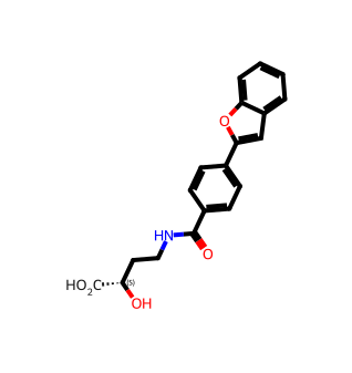 O=C(NCC[C@H](O)C(=O)O)c1ccc(-c2cc3ccccc3o2)cc1